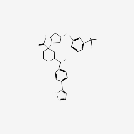 C[C@@H](c1ccc(-c2ccn[nH]2)cc1)C1CC(C(N)=O)(N2CC[C@@H](Oc3cccc(C(F)(F)F)c3)C2)CCO1